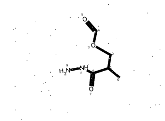 CC(CO[C]=O)C(=O)NN